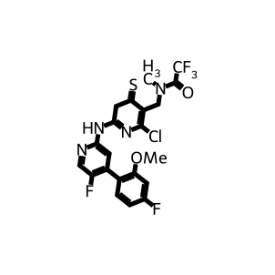 COc1cc(F)ccc1-c1cc(NC2=NC(Cl)=C(CN(C)C(=O)C(F)(F)F)C(=S)C2)ncc1F